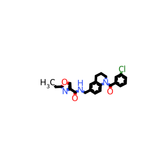 CCc1nc(C(=O)NCc2ccc3c(c2)CCCN3C(=O)c2cccc(Cl)c2)co1